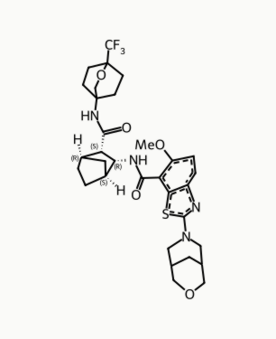 COc1ccc2nc(N3CC4COCC(C4)C3)sc2c1C(=O)N[C@@H]1[C@H]2CC[C@H](C2)[C@@H]1C(=O)NC12CCC(C(F)(F)F)(CC1)OC2